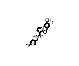 Cc1ccc(F)c(-n2cccc(C(=O)NCc3ccc(Cl)cc3)c2=O)c1